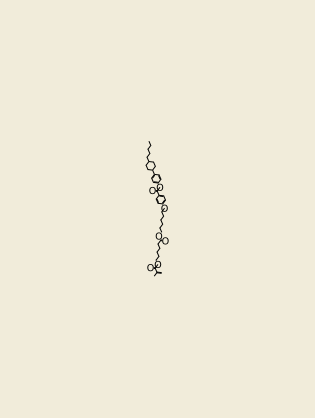 C=C(C)C(=O)OCCCCCC(=O)OCCCCCCOc1ccc(C(=O)Oc2ccc(C3CCC(CCCCC)CC3)cc2)cc1